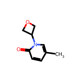 Cc1ccc(=O)n(C2COC2)c1